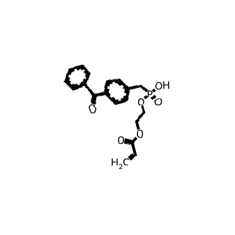 C=CC(=O)OCCOP(=O)(O)Cc1ccc(C(=O)c2ccccc2)cc1